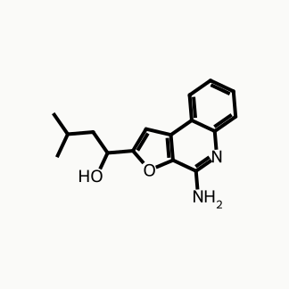 CC(C)CC(O)c1cc2c(o1)c(N)nc1ccccc12